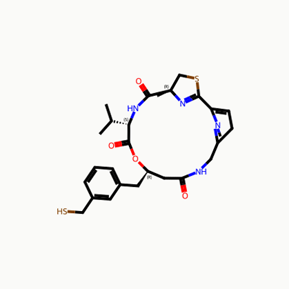 CC(C)[C@@H]1NC(=O)[C@]2(C)CSC(=N2)C2=CCC(=N2)CNC(=O)C[C@@H](Cc2cccc(CS)c2)OC1=O